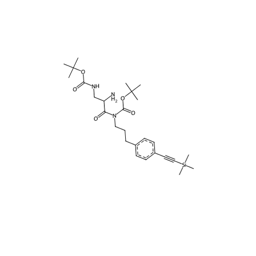 CC(C)(C)OC(=O)NCC(N)C(=O)N(CCCc1ccc(C#C[Si](C)(C)C)cc1)C(=O)OC(C)(C)C